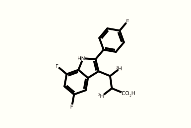 [2H]C(C(=O)O)C([2H])c1c(-c2ccc(F)cc2)[nH]c2c(F)cc(F)cc12